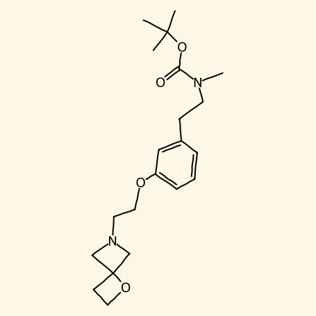 CN(CCc1cccc(OCCN2CC3(CCO3)C2)c1)C(=O)OC(C)(C)C